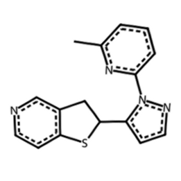 Cc1cccc(-n2nccc2C2Cc3cnccc3S2)n1